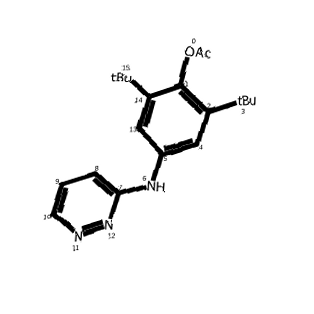 CC(=O)Oc1c(C(C)(C)C)cc(Nc2cccnn2)cc1C(C)(C)C